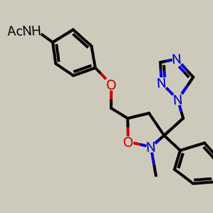 CC(=O)Nc1ccc(OCC2CC(Cn3cncn3)(c3ccccc3)N(C)O2)cc1